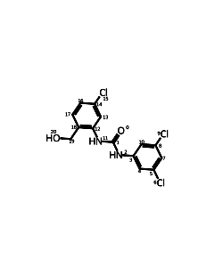 O=C(Nc1cc(Cl)cc(Cl)c1)Nc1cc(Cl)ccc1CO